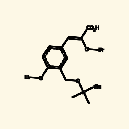 CCOc1ccc(C=C(OC(C)C)C(=O)O)cc1CO[Si](C)(C)C(C)(C)C